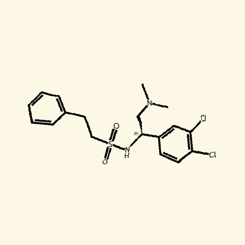 CN(C)C[C@H](NS(=O)(=O)CCc1ccccc1)c1ccc(Cl)c(Cl)c1